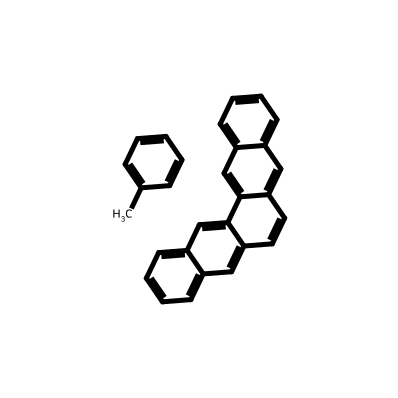 Cc1ccccc1.c1ccc2cc3c(ccc4cc5ccccc5cc43)cc2c1